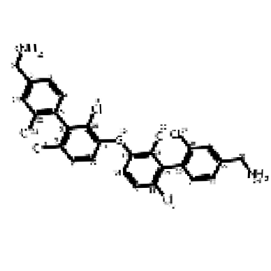 NCc1ccc(-c2c(Cl)ccc(Sc3ccc(Cl)c(-c4ccc(CN)cc4Cl)c3Cl)c2Cl)c(Cl)c1